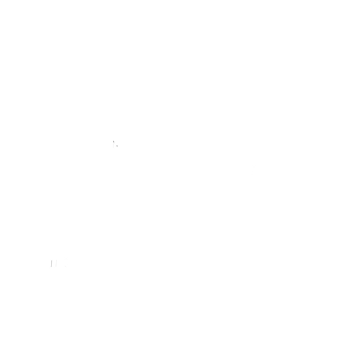 CCCCCCCC1([N]CCCCC)CCCCC1